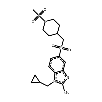 CC(C)(C)c1nc2cc(S(=O)(=O)CC3CCN(S(C)(=O)=O)CC3)ccc2n1CC1CC1